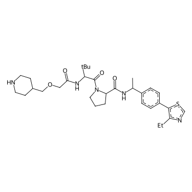 CCc1ncsc1-c1ccc(C(C)NC(=O)C2CCCN2C(=O)C(NC(=O)COCC2CCNCC2)C(C)(C)C)cc1